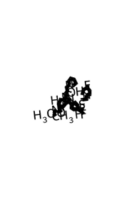 CC(C)NC(=O)N1CCc2c(c(-c3ccc(C(F)(F)F)c(SCCN4CCC(F)CC4)c3)nn2C[C@H](O)CN2CCCCC2)C1